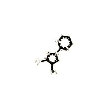 Nc1cn(-c2ncccn2)nc1C(F)(F)F